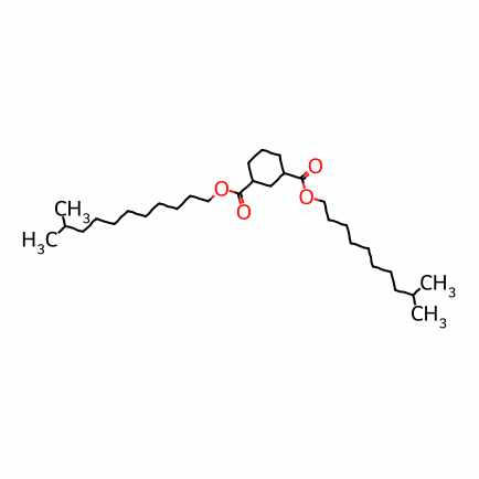 CC(C)CCCCCCCCCOC(=O)C1CCCC(C(=O)OCCCCCCCCC(C)C)C1